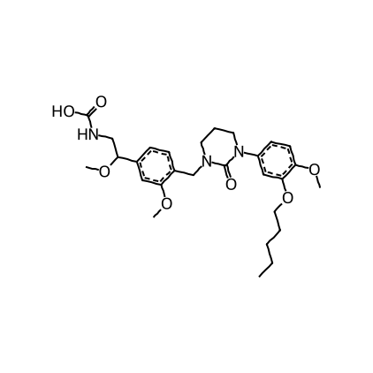 CCCCCOc1cc(N2CCCN(Cc3ccc(C(CNC(=O)O)OC)cc3OC)C2=O)ccc1OC